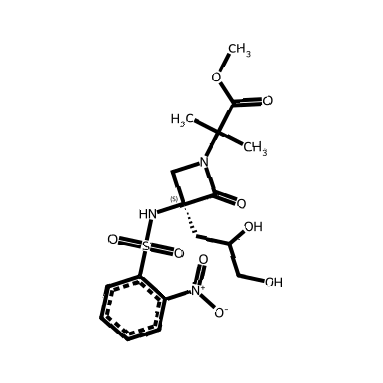 COC(=O)C(C)(C)N1C[C@](CC(O)CO)(NS(=O)(=O)c2ccccc2[N+](=O)[O-])C1=O